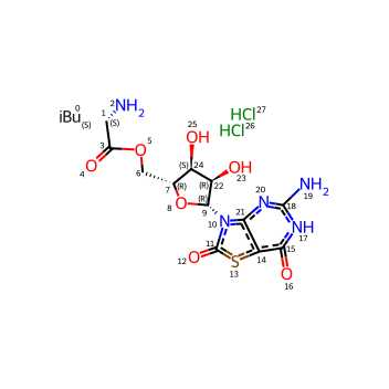 CC[C@H](C)[C@H](N)C(=O)OC[C@H]1O[C@@H](n2c(=O)sc3c(=O)[nH]c(N)nc32)[C@H](O)[C@@H]1O.Cl.Cl